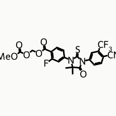 COC(=O)OCOC(=O)c1ccc(N2C(=S)N(c3ccc(C#N)c(C(F)(F)F)c3)C(=O)C2(C)C)cc1F